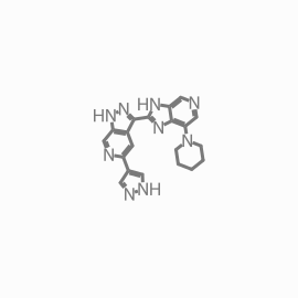 c1n[nH]cc1-c1cc2c(-c3nc4c(N5CCCCC5)cncc4[nH]3)n[nH]c2cn1